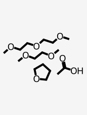 C1CCOC1.CC(=O)O.COCCOC.COCCOCCOC